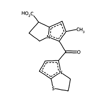 Cc1cc2n(c1C(=O)c1ccc3n1CCS3)CCC2C(=O)O